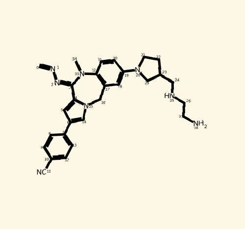 C=N/N=C1/c2cc(-c3ccc(C#N)cc3)cn2Cc2cc(N3CCC(CNCCN)C3)ccc2N1C